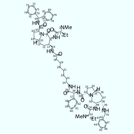 CC[C@H](NC)C(=O)N[C@@H]1C(=O)N2[C@@H](CC[C@@H]1CNC(=O)CCCCCCCNC(=O)[C@@H](NC(=O)[C@@H]1CC[C@@H]3CC[C@H](CNCc4ccccc4)[C@H](NC(=O)[C@H](CC)NC)CN31)c1ccccc1)CC[C@H]2C(=O)NC(c1ccccc1)c1ccccc1